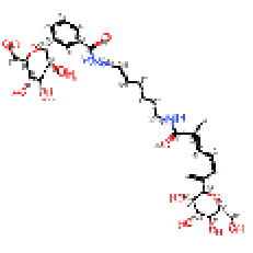 C=C(/C=C\C=C(/C)C(=O)NCCCCCCNC(=O)c1cccc([C@H]2O[C@H](CO)[C@@H](O)[C@H](O)[C@@H]2O)c1)[C@H]1O[C@H](CO)[C@@H](O)[C@H](O)[C@@H]1O